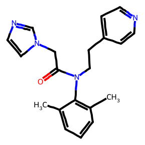 Cc1cccc(C)c1N(CCc1ccncc1)C(=O)Cn1ccnc1